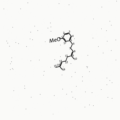 COc1cccc(CCC=C(C)CCC=C(C)C)c1